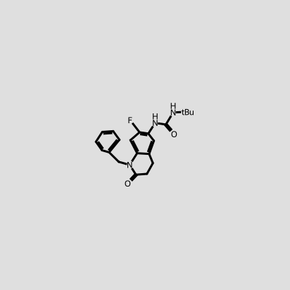 CC(C)(C)NC(=O)Nc1cc2c(cc1F)N(Cc1ccccc1)C(=O)CC2